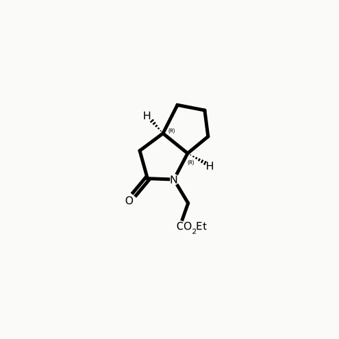 CCOC(=O)CN1C(=O)C[C@H]2CCC[C@H]21